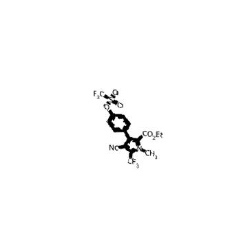 CCOC(=O)c1c(-c2ccc(OS(=O)(=O)C(F)(F)F)cc2)c(C#N)c(C(F)(F)F)n1C